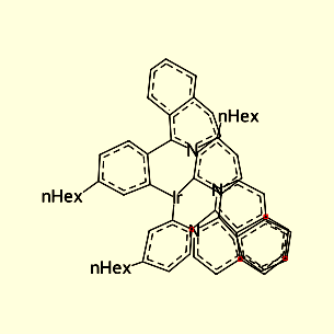 CCCCCCc1ccc(-c2nccc3ccccc23)[c]([Ir]([c]2cc(CCCCCC)ccc2-c2nccc3ccccc23)[c]2cc(CCCCCC)ccc2-c2nccc3ccccc23)c1